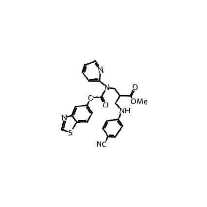 COC(=O)C(CNc1ccc(C#N)cc1)CN(C(=O)Oc1ccc2scnc2c1)c1ccccn1